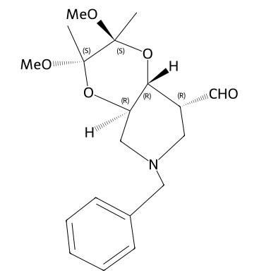 CO[C@@]1(C)O[C@@H]2[C@H](C=O)CN(Cc3ccccc3)C[C@H]2O[C@]1(C)OC